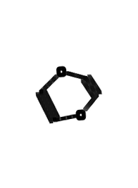 C1#COC#CO1